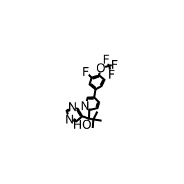 CC(C)(C)C(O)(c1cncnc1)c1ccc(-c2ccc(OC(F)(F)F)c(F)c2)cn1